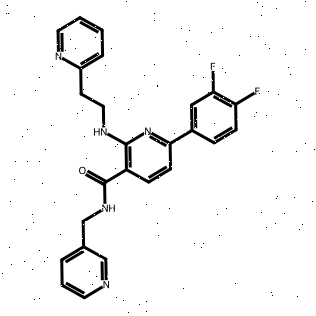 O=C(NCc1cccnc1)c1ccc(-c2ccc(F)c(F)c2)nc1NCCc1ccccn1